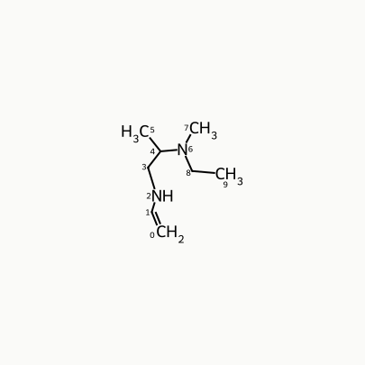 C=CNCC(C)N(C)CC